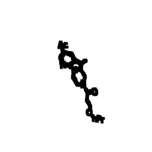 CCCOCCC(=O)N1CCn2c(c(C)c3cc(C(C)=O)cnc32)C1